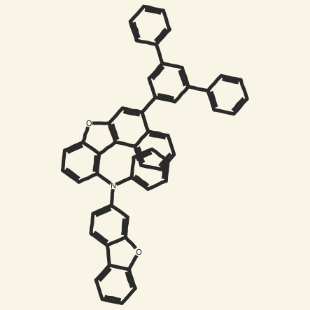 c1ccc(-c2cc(-c3ccccc3)cc(-c3cc4oc5cccc(N(c6ccccc6)c6ccc7c(c6)oc6ccccc67)c5c4c4ccccc34)c2)cc1